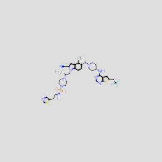 Cc1c(CN2CCC(Nc3ncnc4sc(CC(F)(F)F)cc34)CC2)ccc2c1cc(C#N)n2CC(C)N1CCN(S(=O)(=O)NCCc2cncs2)CC1